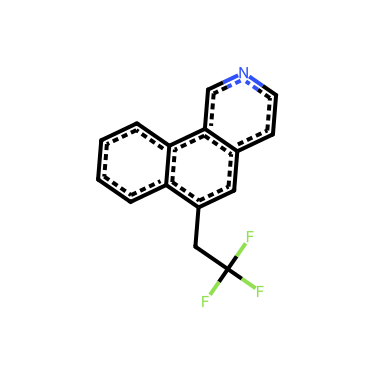 FC(F)(F)Cc1cc2ccncc2c2ccccc12